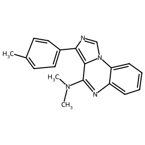 Cc1ccc(-c2ncn3c2c(N(C)C)nc2ccccc23)cc1